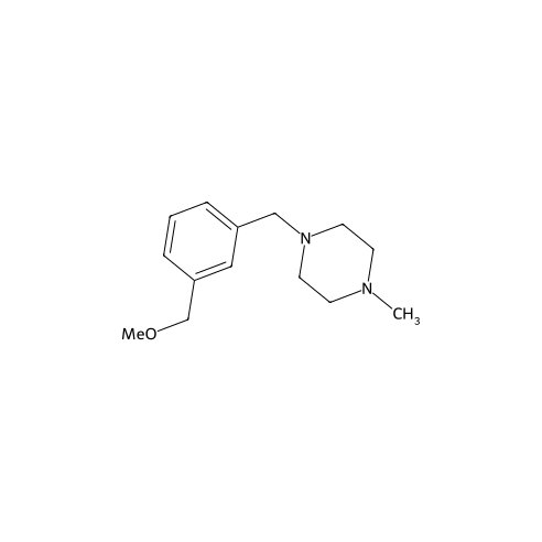 COCc1cccc(CN2CCN(C)CC2)c1